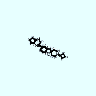 C1=Cc2nc(-c3ccc4c(c3)CC3(CCN(C5CCC5)CC3)O4)cnc2C1